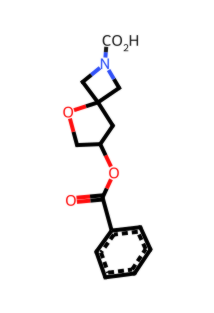 O=C(OC1COC2(C1)CN(C(=O)O)C2)c1ccccc1